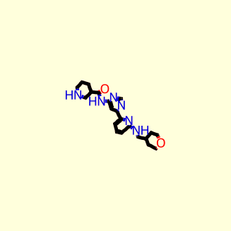 O=C(Nc1cc(-c2cccc(NCC3CCOCC3)n2)ncn1)C1CCCNC1